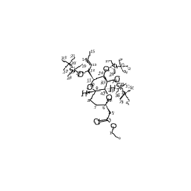 CCOC(=O)C[C@H]1CC[C@@H]2O[C@@H](C(/C=C/I)O[Si](C)(C)C(C)(C)C)C(O[Si](C)(C)C(C)(C)C)C(O[Si](C)(C)C(C)(C)C)[C@H]2O1